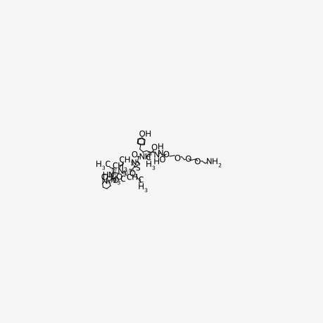 CCCO[C@H](C[C@H](C(C)C)N(CCC)C(=O)[C@@H](NC(=O)[C@H]1CCCCN1C)[C@@H](C)CC)c1nc(C(=O)NC(Cc2ccc(O)cc2)C[C@H](C)C(=O)NNC(=O)OCCOCCOCCOCCN)cs1